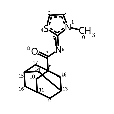 Cn1ccsc1=NC(=O)C12CC3CC(CC(C3)C1)C2